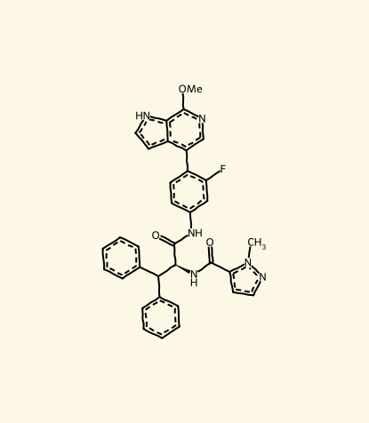 COc1ncc(-c2ccc(NC(=O)[C@@H](NC(=O)c3ccnn3C)C(c3ccccc3)c3ccccc3)cc2F)c2cc[nH]c12